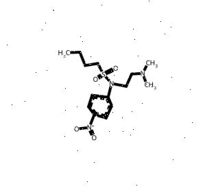 CCCCS(=O)(=O)N(CCN(C)C)c1ccc([N+](=O)[O-])cc1